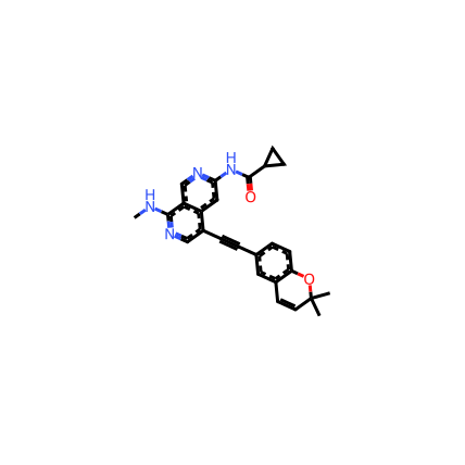 CNc1ncc(C#Cc2ccc3c(c2)C=CC(C)(C)O3)c2cc(NC(=O)C3CC3)ncc12